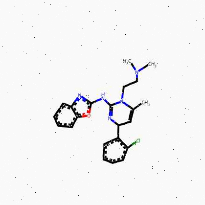 CC1=CC(c2ccccc2Cl)N=C(Nc2nc3ccccc3o2)N1CCN(C)C